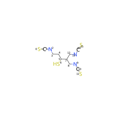 S=C=NCCC(S)C(CN=C=S)CN=C=S